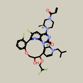 C=CC(=O)N1CCN(c2nc(=O)n3c4nc(c(F)cc24)-c2c(F)cccc2OCC(O)C(OCC(F)F)C2=C3[C@@H](C)N(CC(C)C)C=C2)[C@@H](C)C1